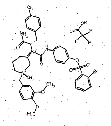 COc1ccc(C[N+]2(C)CCC/C(=[N+](/C(=O)Nc3ccc(OS(=O)(=O)c4ccccc4Br)cc3)[C@@H](Cc3ccc(O)cc3)C(N)=O)C2)cc1OC.O=C(O)C(F)(F)F